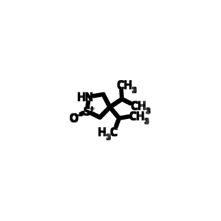 CC(C)C1(C(C)C)CN[S+]([O-])C1